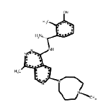 Cc1c(C#N)cccc1[C@@H](N)Nc1nnc(C)c2cnc(N3CCCN(C)CCC3)cc12